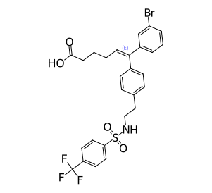 O=C(O)CCC/C=C(\c1ccc(CCNS(=O)(=O)c2ccc(C(F)(F)F)cc2)cc1)c1cccc(Br)c1